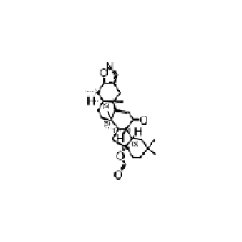 C[C@@H]1c2oncc2C[C@]2(C)C3=CC(=O)[C@@H]4[C@@H]5CC(C)(C)CC[C@]5(OC=O)CC[C@@]4(C)[C@]3(C)CC[C@@H]12